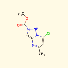 COC(=O)N1C=C2N=C(C)C=C(Cl)N2N1